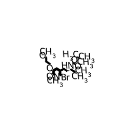 COCCCOc1cc(CC[C@H](NC(=O)OC(C)(C)C)C(C)C)c(Br)nc1OC